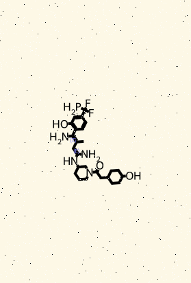 CC(/C=C(\N)NC1CCCN(C(=O)CC2CCC(O)CC2)C1)=C(/N)c1ccc(C(F)(F)P)cc1O